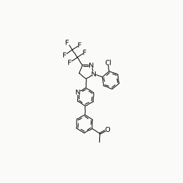 CC(=O)c1cccc(-c2ccc(C3CC(C(F)(F)C(F)(F)F)=NN3c3ccccc3Cl)nc2)c1